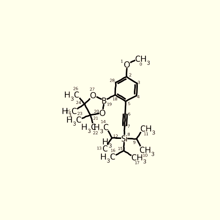 COc1ccc(C#C[Si](C(C)C)(C(C)C)C(C)C)c(B2OC(C)(C)C(C)(C)O2)c1